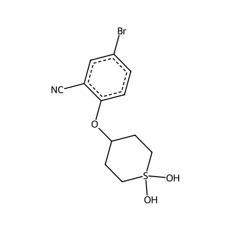 N#Cc1cc(Br)ccc1OC1CCS(O)(O)CC1